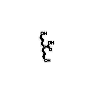 O=C(O)N(CC=CO)CC=CO